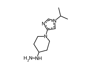 CC(C)n1cnc(N2CCC(NN)CC2)c1